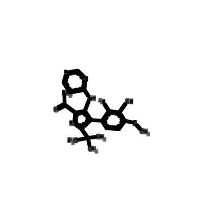 [2H]c1c(-c2c(C(C)(C)C)[se]c(C(N)=O)c2Nc2ccncn2)ccc(SC)c1S